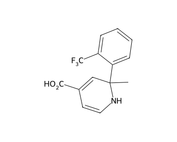 CC1(c2ccccc2C(F)(F)F)C=C(C(=O)O)C=CN1